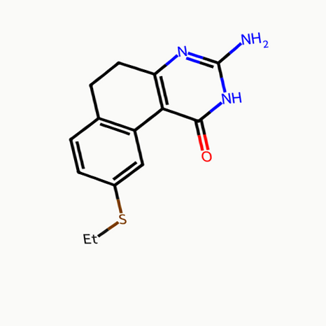 CCSc1ccc2c(c1)-c1c(nc(N)[nH]c1=O)CC2